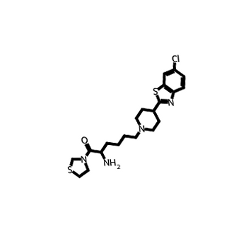 NC(CCCCN1CCC(c2nc3ccc(Cl)cc3s2)CC1)C(=O)N1CCSC1